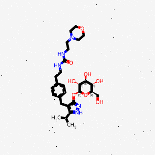 CC(C)c1[nH]nc(O[C@@H]2O[C@H](CO)[C@@H](O)[C@H](O)[C@H]2O)c1Cc1ccc(CCNC(=O)NCCN2CCOCC2)cc1